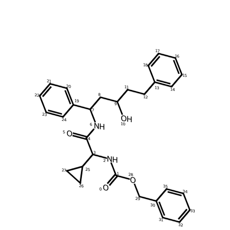 O=C(NC(C(=O)NC(CC(O)CCc1ccccc1)c1ccccc1)C1CC1)OCc1ccccc1